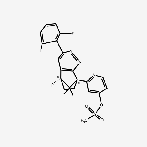 CC1(C)[C@H]2CC[C@@]1(c1cc(OS(=O)(=O)C(F)(F)F)ccn1)c1nnc(-c3c(F)cccc3F)cc12